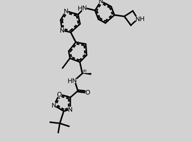 Cc1cc(-c2cc(Nc3ccc(C4CNC4)cn3)ncn2)ccc1[C@@H](C)NC(=O)c1nc(C(C)(C)C)no1